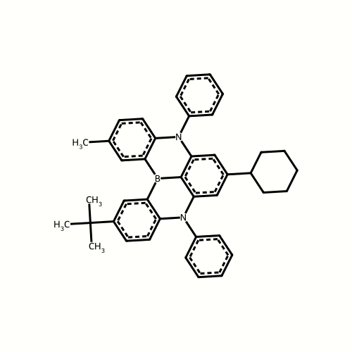 Cc1ccc2c(c1)B1c3cc(C(C)(C)C)ccc3N(c3ccccc3)c3cc(C4CCCCC4)cc(c31)N2c1ccccc1